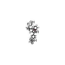 C[C@@H]1C(=O)C(=CO)C[C@]2(c3ccccc3)c3n[nH]c(-c4ccc(NS(C)(=O)=O)cc4)c3CC[C@@H]12